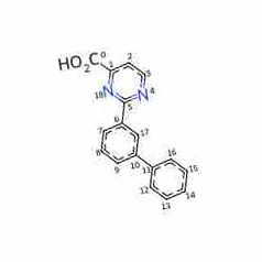 O=C(O)c1ccnc(-c2cccc(-c3ccccc3)c2)n1